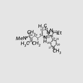 C=C(C)/C(CCC1=CC(=C)n2nc(CC)c(-c3ccc(C)cc3)c2N1)=C(/C)NC